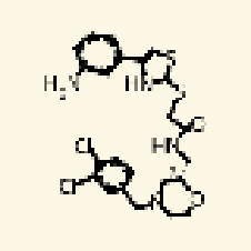 Nc1cccc(C2=CSC(SCC(=O)NC[C@H]3CN(Cc4ccc(Cl)c(Cl)c4)CCO3)N2)c1